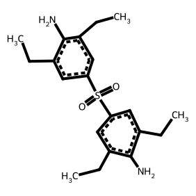 CCc1cc(S(=O)(=O)c2cc(CC)c(N)c(CC)c2)cc(CC)c1N